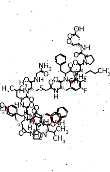 CCCC[C@@H](C(=O)N1CCC[C@@H]1C(=O)N[C@H](C=O)CC(=O)O)N(C)C(=O)C(Cc1ccccc1)N(C)C(=O)[C@H](Cc1cc(F)c(F)c(F)c1)NC(=O)CSC[C@H](NC(=O)[C@H](CC(C)C)NC(=O)[C@H](Cc1ccc(O)cc1)NC(=O)[C@H](Cc1c[nH]c2ccccc12)NC(=O)C1CCCN1C1OC1[C@H](CCCN)NCC(=O)[C@H](Cc1ccccc1)N(C)C(=O)[C@@H](N)C(C)C)C(=O)NCC(N)=O